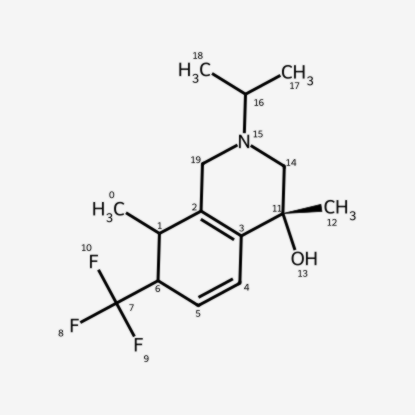 CC1C2=C(C=CC1C(F)(F)F)[C@@](C)(O)CN(C(C)C)C2